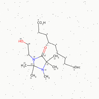 CCCCCCCCCCCCCCCCCC(=O)O.CN1C(C)(C)C(=O)N(CCO)C1(C)C